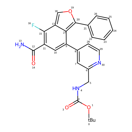 CC(C)(C)OC(=O)NCc1cc(-c2cc(C(N)=O)c(F)c3coc(-c4ccccc4)c23)ccn1